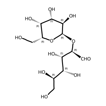 O=C[C@H](O[C@H]1O[C@H](CO)[C@H](O)[C@H](O)[C@H]1O)[C@@H](O)[C@H](O)[C@H](O)CO